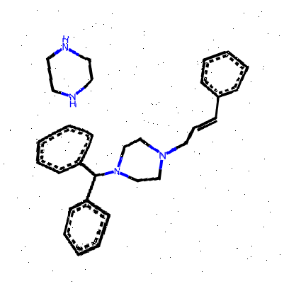 C(=C\c1ccccc1)/CN1CCN(C(c2ccccc2)c2ccccc2)CC1.C1CNCCN1